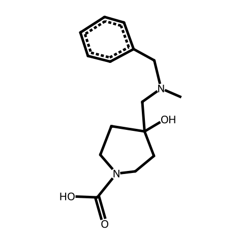 CN(Cc1ccccc1)CC1(O)CCN(C(=O)O)CC1